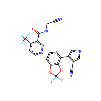 N#CCNC(=O)c1cnccc1C(F)(F)F.N#Cc1c[nH]cc1-c1cccc2c1OC(F)(F)O2